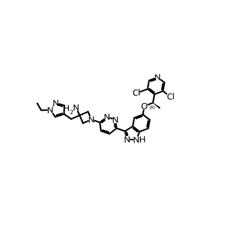 CCn1cc(CC2(N)CN(c3ccc(-c4n[nH]c5ccc(O[C@H](C)c6c(Cl)cncc6Cl)cc45)nn3)C2)cn1